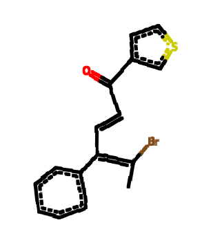 C/C(Br)=C(/C=C/C(=O)c1ccsc1)c1ccccc1